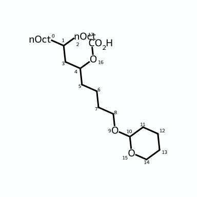 CCCCCCCCC(CCCCCCCC)CC(CCCCOC1CCCCO1)OC(=O)O